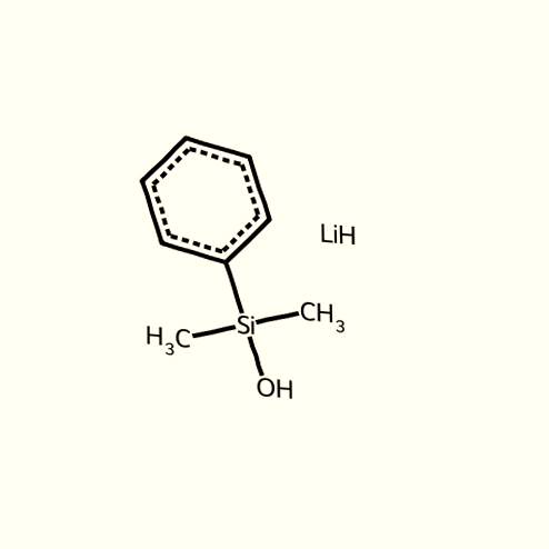 C[Si](C)(O)c1ccccc1.[LiH]